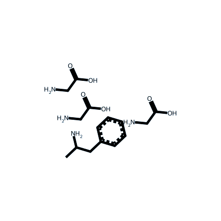 CC(N)Cc1ccccc1.NCC(=O)O.NCC(=O)O.NCC(=O)O